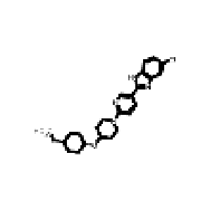 O=C(O)C[C@H]1CC[C@@H](OC2CCN(c3ccc(-c4nc5cc(Cl)ccc5[nH]4)cn3)CC2)CC1